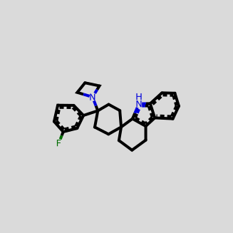 Fc1cccc(C2(N3CCC3)CCC3(CCCc4c3[nH]c3ccccc43)CC2)c1